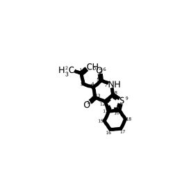 C=C(C)CC1C(=O)Nc2sc3c(c2C1=O)CCCC3